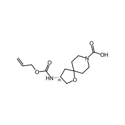 C=CCOC(=O)N[C@H]1COC2(CCN(C(=O)O)CC2)C1